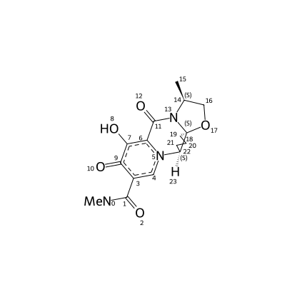 CNC(=O)c1cn2c(c(O)c1=O)C(=O)N1[C@@H](C)CO[C@]13CCC[C@H]23